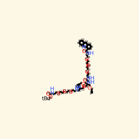 C#CCOCC(COCC#C)(COCc1cn(CCOCCOCCOCCNC(=O)OC(C)(C)C)nn1)NC(=O)NCCOCCOCCOCCNC(=O)c1cccc2cc3ccccc3nc12